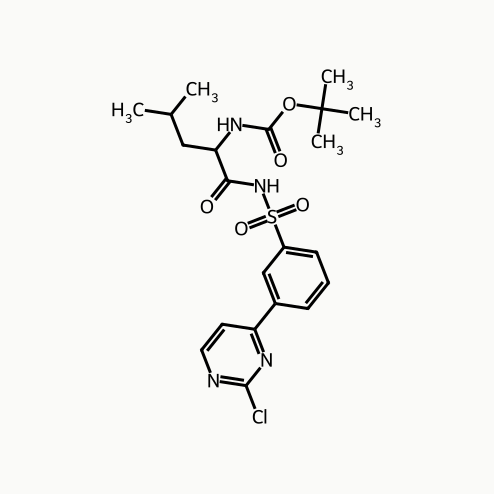 CC(C)CC(NC(=O)OC(C)(C)C)C(=O)NS(=O)(=O)c1cccc(-c2ccnc(Cl)n2)c1